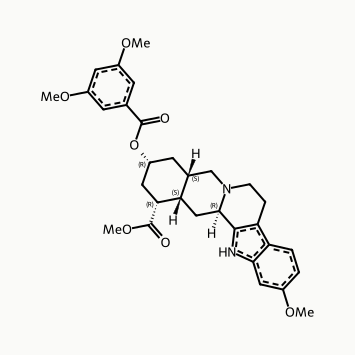 COC(=O)[C@@H]1C[C@H](OC(=O)c2cc(OC)cc(OC)c2)C[C@@H]2CN3CCc4c([nH]c5cc(OC)ccc45)[C@H]3C[C@@H]21